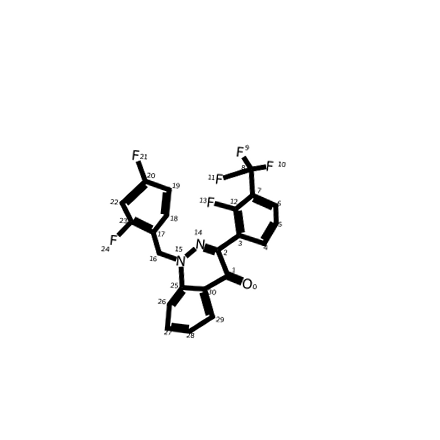 O=c1c(-c2cccc(C(F)(F)F)c2F)nn(Cc2ccc(F)cc2F)c2ccccc12